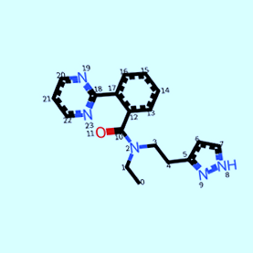 CCN(CCc1cc[nH]n1)C(=O)c1ccccc1-c1ncccn1